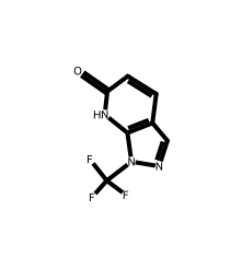 O=c1ccc2cnn(C(F)(F)F)c2[nH]1